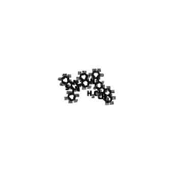 CC1(C)c2cc3c(cc2-c2ccc4ccccc4c21)c1ccccc1n3C1CC=C(c2nc(-c3ccccc3)c3sc4ccccc4c3n2)c2ccccc21